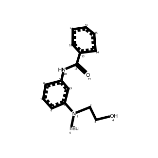 CCCCN(CCO)c1cccc(NC(=O)c2ccccc2)c1